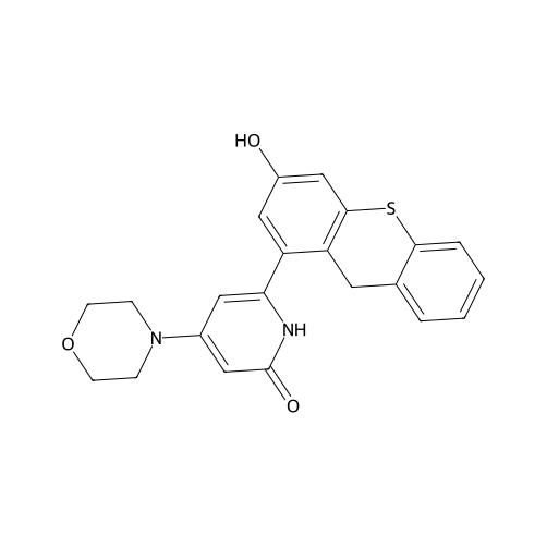 O=c1cc(N2CCOCC2)cc(-c2cc(O)cc3c2Cc2ccccc2S3)[nH]1